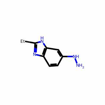 CCc1nc2ccc(NN)cc2[nH]1